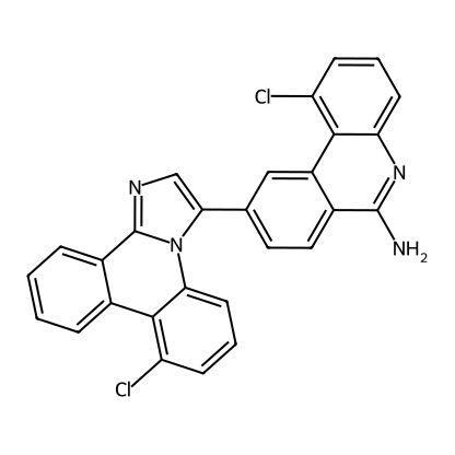 Nc1nc2cccc(Cl)c2c2cc(-c3cnc4c5ccccc5c5c(Cl)cccc5n34)ccc12